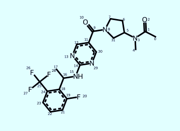 CC(=O)N(C)C1CCN(C(=O)c2cnc(NC(C)c3c(F)cccc3C(F)(F)F)nc2)C1